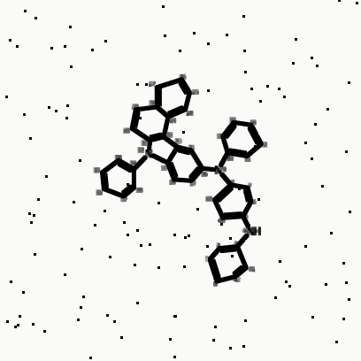 c1ccc(Nc2ccc(N(c3ccccc3)c3ccc4c(c3)c3c5ccccc5ccc3n4-c3ccccc3)cc2)cc1